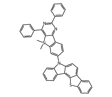 C[Si]1(C)c2cc(-n3c4ccccc4c4c5sc6ccccc6c5ccc43)ccc2-c2nc(-c3ccccc3)nc(-c3ccccc3)c21